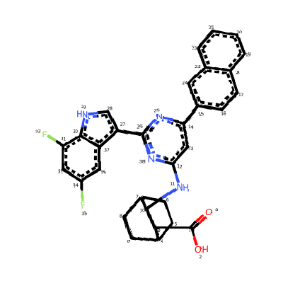 O=C(O)C1C2CCC(CC2)C1Nc1cc(-c2ccc3ccccc3c2)nc(-c2c[nH]c3c(F)cc(F)cc23)n1